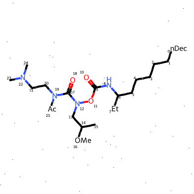 CCCCCCCCCCCCCCCC(CC)NC(=O)ON(CC(C)OC)C(=O)N(CCN(C)C)C(C)=O